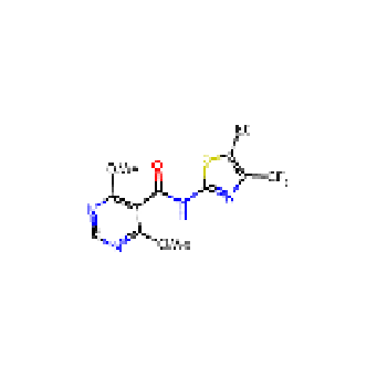 CCc1sc(NC(=O)c2c(OC)ncnc2OC)nc1C(F)(F)F